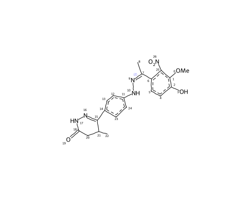 COc1c(O)ccc(/C(C)=N\Nc2ccc(C3=NNC(=O)CC3C)cc2)c1[N+](=O)[O-]